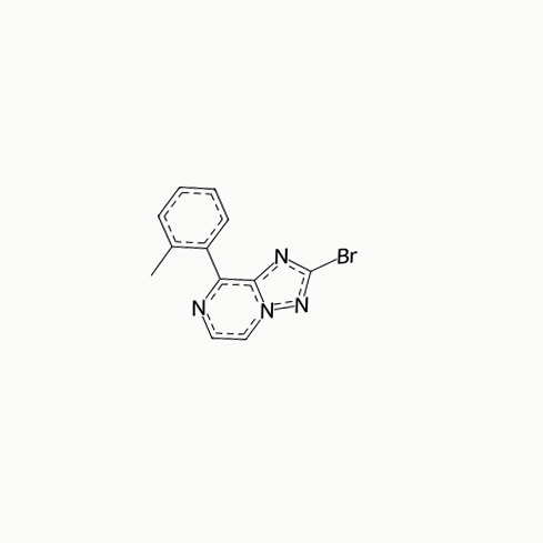 Cc1ccccc1-c1nccn2nc(Br)nc12